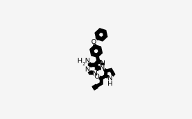 C#CCC(=O)C1NCCC1n1nc(-c2ccc(Oc3ccccc3)cc2)c2c(N)ncnc21